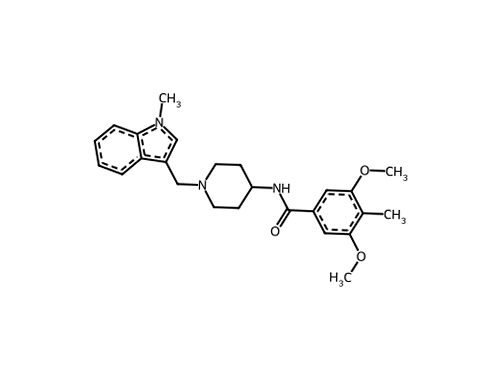 COc1cc(C(=O)NC2CCN(Cc3cn(C)c4ccccc34)CC2)cc(OC)c1C